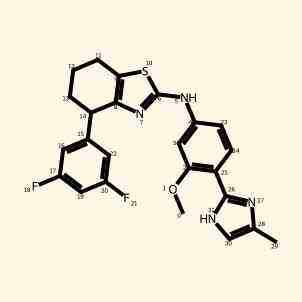 COc1cc(Nc2nc3c(s2)CCCC3c2cc(F)cc(F)c2)ccc1-c1nc(C)c[nH]1